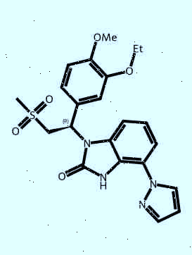 CCOc1cc([C@H](CS(C)(=O)=O)n2c(=O)[nH]c3c(-n4cccn4)cccc32)ccc1OC